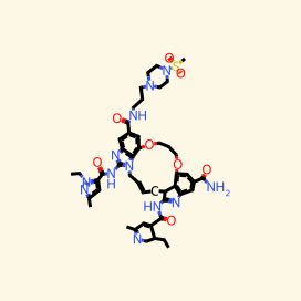 CCC1CN=C(C)C=C1C(=O)NC1=Nc2cc(C(N)=O)cc3c2C1C/C=C/Cn1c(NC(=O)c2cc(C)nn2CC)nc2cc(C(=O)NCCCN4CCN(S(C)(=O)=O)CC4)cc(c21)OCCCO3